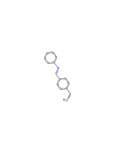 C=Cc1ccc(C=Nc2ccccc2)cc1